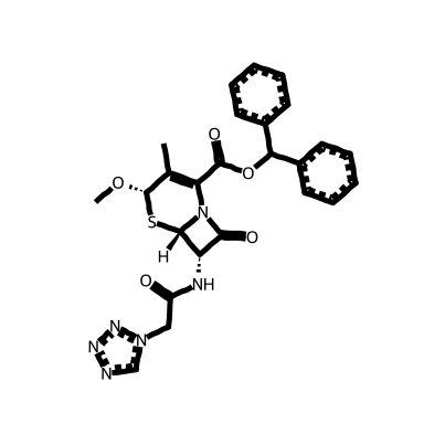 CO[C@H]1S[C@H]2[C@@H](NC(=O)Cn3cnnn3)C(=O)N2C(C(=O)OC(c2ccccc2)c2ccccc2)=C1C